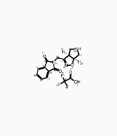 O=C(O)C(F)(F)F.O=C1c2ccccc2C(=O)N1CC1=NO[C@@H]2CNC[C@H]12